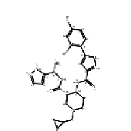 C[C@@H](NC(=O)[C@H]1CN(CC2CC2)CC[C@@H]1NC(=O)c1cc(-c2ccc(F)cc2F)on1)c1ccn[nH]1